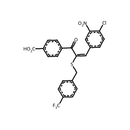 O=C(O)c1ccc(C(=O)/C(=C\c2ccc(Cl)c([N+](=O)[O-])c2)SCc2ccc(C(F)(F)F)cc2)cc1